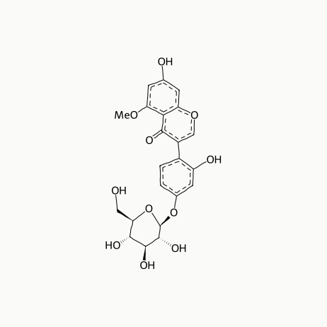 COc1cc(O)cc2occ(-c3ccc(O[C@@H]4O[C@H](CO)[C@@H](O)[C@H](O)[C@H]4O)cc3O)c(=O)c12